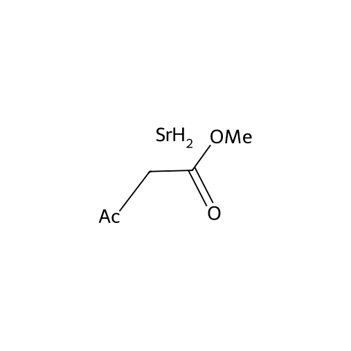 COC(=O)CC(C)=O.[SrH2]